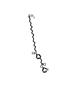 CCCCCCCCCCCCCCCCCCCNc1ccc(CCC(=O)Oc2cccnc2)cc1